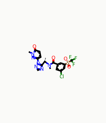 C[C@@H](c1ncnn1-c1ccc(=O)n(C)n1)N(C)C(=O)c1cc(Cl)cc(S(=O)(=O)C(F)(F)F)c1